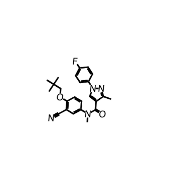 Cc1nn(-c2ccc(F)cc2)cc1C(=O)N(C)c1ccc(OCC(C)(C)C)c(C#N)c1